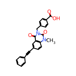 Cn1c(=O)n(Cc2ccc(C(=O)O)cc2)c(=O)c2cc(C#Cc3ccccc3)ccc21